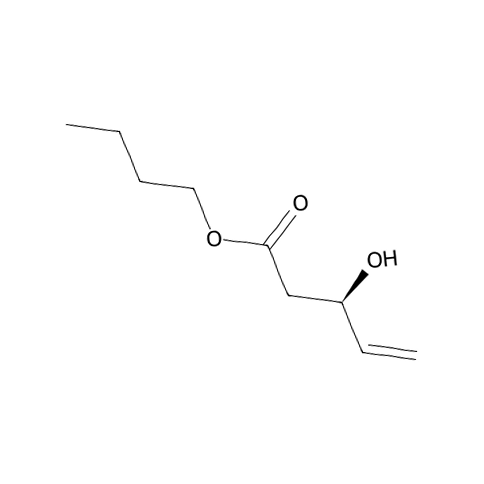 C=C[C@H](O)CC(=O)OCCCC